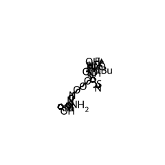 Cc1ncsc1-c1ccc(CNC(=O)[C@@H]2C[C@@H](O)CN2C(=O)[C@@H](NC(=O)C2(F)CC2)C(C)(C)C)c(OCCOCCOCCN2CCN(c3cc(-c4ccccc4O)nnc3N)CC2)c1